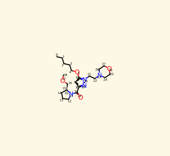 CCCCCOc1cc(C(=O)N2CCC[C@H]2COC)nn1CCN1CCOCC1